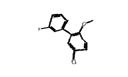 COc1ccc(Cl)cc1-c1cccc(F)c1